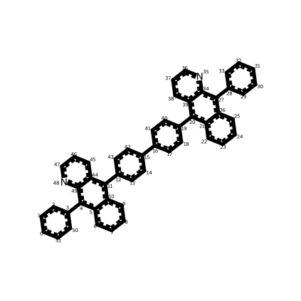 c1ccc(-c2c3ccccc3c(-c3ccc(-c4ccc(-c5c6ccccc6c(-c6ccccc6)c6ncccc56)cc4)cc3)c3cccnc23)cc1